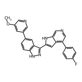 COc1cncc(-c2ccc3[nH]nc(-c4cc5c(-c6ccc(F)cc6)cncc5[nH]4)c3c2)c1